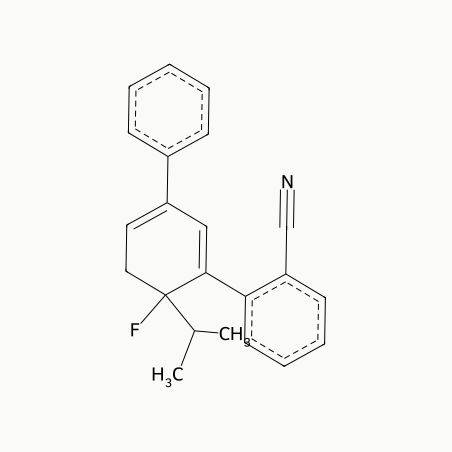 CC(C)C1(F)CC=C(c2ccccc2)C=C1c1ccccc1C#N